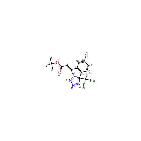 CC(C)(C)OC(=O)/C=C/c1cc(Cl)ccc1C1(C(F)(F)F)N=NN=N1